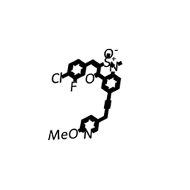 COc1ccc(CC#Cc2ccc3c(c2)C(=O)/C(=C\c2ccc(Cl)c(F)c2)[S+]([O-])N3C)cn1